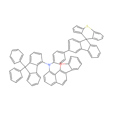 c1ccc(C2(c3ccccc3)c3ccccc3-c3c(N(c4ccc(-c5ccc6c(c5)-c5ccccc5C65c6ccccc6Sc6ccccc65)cc4)c4cccc5ccc6c7ccccc7oc6c45)cccc32)cc1